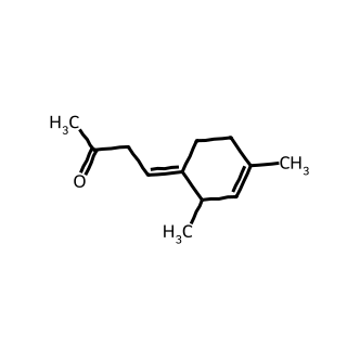 CC(=O)CC=C1CCC(C)=CC1C